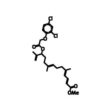 C=C(C)C(CCC(C)=CCCC(C)=CC=CC(=O)OC)OC(=O)COc1ccc(Cl)cc1Cl